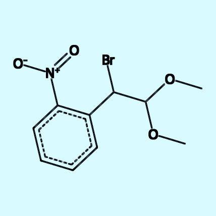 COC(OC)C(Br)c1ccccc1[N+](=O)[O-]